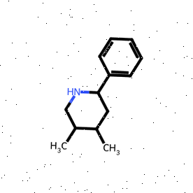 CC1CNC(c2ccccc2)CC1C